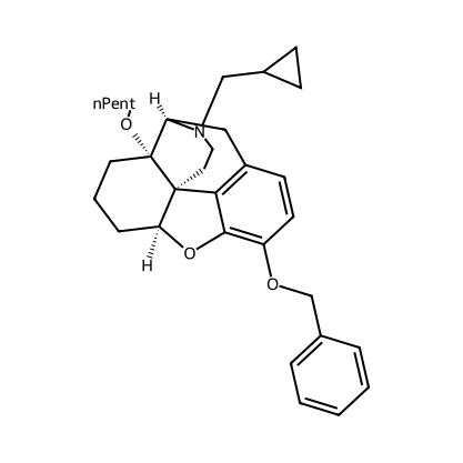 CCCCCO[C@@]12CCC[C@@H]3Oc4c(OCc5ccccc5)ccc5c4[C@@]31CCN(CC1CC1)[C@@H]2C5